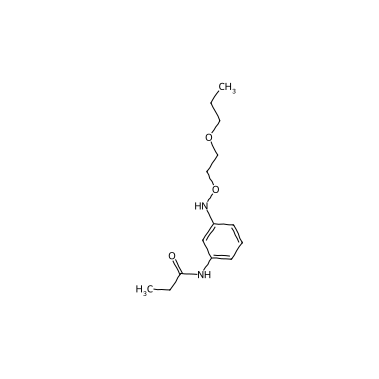 CCCOCCONc1cccc(NC(=O)CC)c1